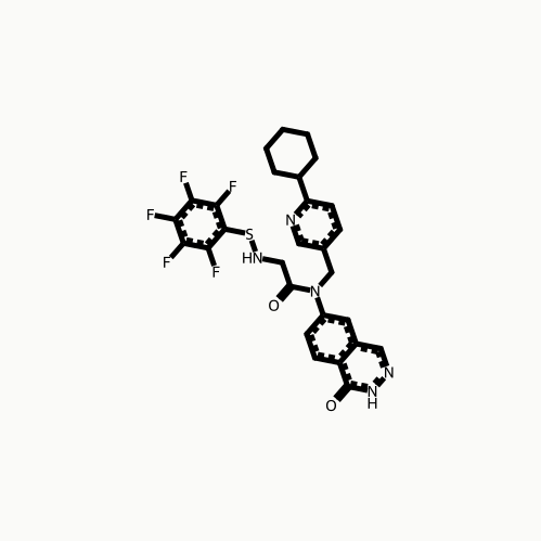 O=C(CNSc1c(F)c(F)c(F)c(F)c1F)N(Cc1ccc(C2CCCCC2)nc1)c1ccc2c(=O)[nH]ncc2c1